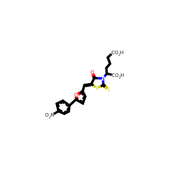 O=C(O)CCCC(C(=O)O)N1C(=O)C(=Cc2ccc(-c3ccc([N+](=O)[O-])cc3)o2)SC1=S